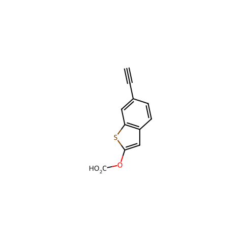 C#Cc1ccc2cc(OC(=O)O)sc2c1